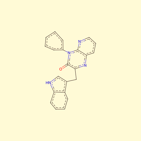 O=c1c(Cc2c[nH]c3ccccc23)nc2cccnc2n1-c1ccccc1